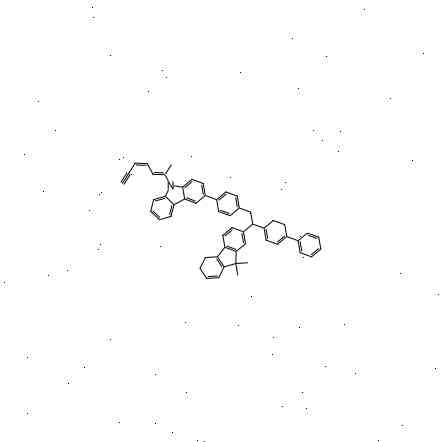 C#C/C=C\C=C(/C)n1c2ccccc2c2cc(-c3ccc(CC(C4=CC=C(c5ccccc5)CC4)c4ccc5c(c4)C(C)(C)C4=C5CCC=C4)cc3)ccc21